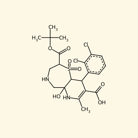 CC1=C(C(=O)O)C(c2cccc(Cl)c2Cl)C2C(O)(CNCC(C(=O)OC(C)(C)C)S2(=O)=O)N1